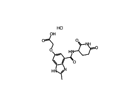 Cc1nc2c(C(=O)NC3CCC(=O)NC3=O)cc(OCC(=O)O)cc2[nH]1.Cl